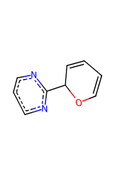 C1=COC(c2ncccn2)C=C1